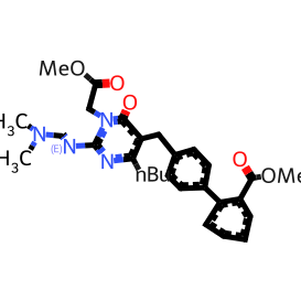 CCCCc1nc(/N=C/N(C)C)n(CC(=O)OC)c(=O)c1Cc1ccc(-c2ccccc2C(=O)OC)cc1